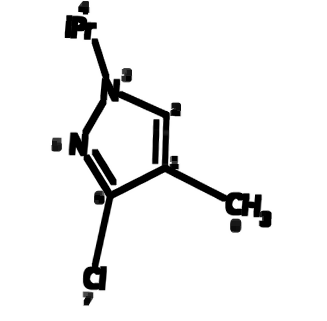 Cc1cn(C(C)C)nc1Cl